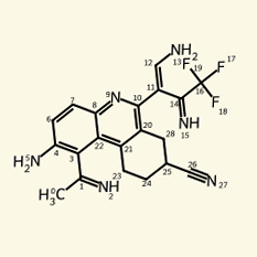 CC(=N)c1c(N)ccc2nc(/C(=C/N)C(=N)C(F)(F)F)c3c(c12)CCC(C#N)C3